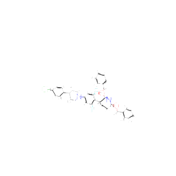 Fc1cc(N2CCC(c3ccc(Cl)cc3)CC2)cc(F)c1-c1ccc(OCc2ccccc2)nc1OCc1ccccc1